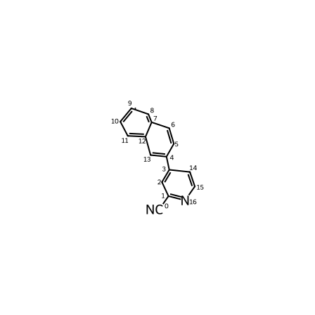 N#Cc1cc(-c2ccc3c[c]ccc3c2)ccn1